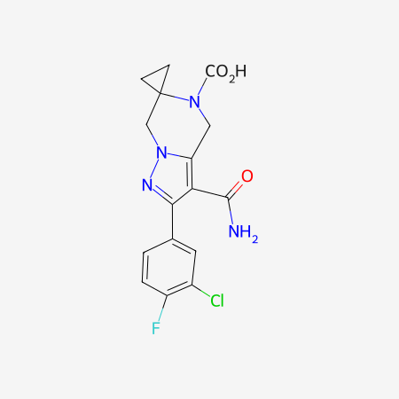 NC(=O)c1c(-c2ccc(F)c(Cl)c2)nn2c1CN(C(=O)O)C1(CC1)C2